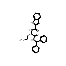 O=C(O)CC[C@H](NC(=O)c1cc2ccccc2[nH]1)C(=O)NC(c1ccccc1)c1ccccc1